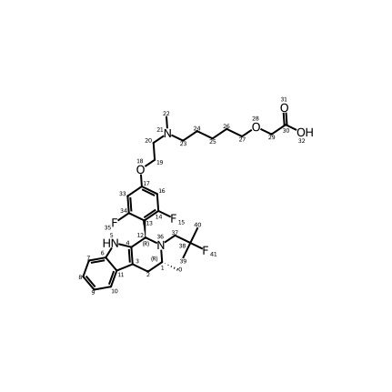 C[C@@H]1Cc2c([nH]c3ccccc23)[C@@H](c2c(F)cc(OCCN(C)CCCCCOCC(=O)O)cc2F)N1CC(C)(C)F